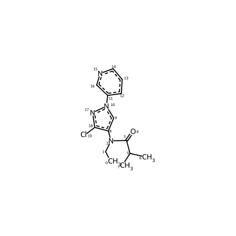 CCN(C(=O)C(C)C)c1cn(-c2cccnc2)nc1Cl